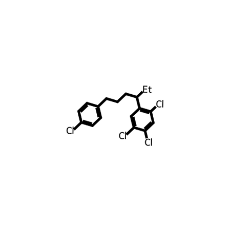 [CH2]CC(CCCc1ccc(Cl)cc1)c1cc(Cl)c(Cl)cc1Cl